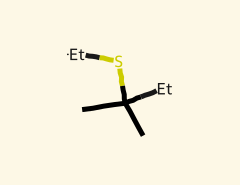 C[CH]SC(C)(C)CC